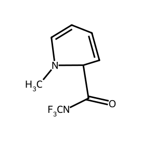 CN1C=CC=CC1C(=O)NC(F)(F)F